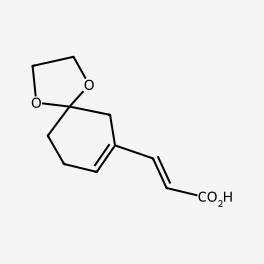 O=C(O)/C=C/C1=CCCC2(C1)OCCO2